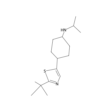 CC(C)NC1CCC(c2cnc(C(C)(C)C)s2)CC1